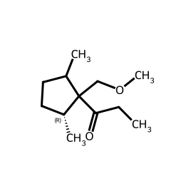 CCC(=O)C1(COC)C(C)CC[C@H]1C